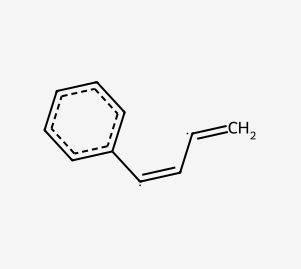 C=[C]/C=[C]\c1ccccc1